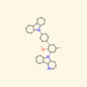 COc1c(-c2ccc(-n3c4ccccc4c4ccccc43)cc2)cc(C)cc1-n1c2ccccc2c2ncccc21